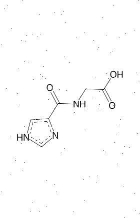 O=C(O)CNC(=O)c1c[nH]cn1